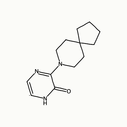 O=c1[nH][c]cnc1N1CCC2(CCCC2)CC1